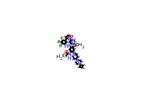 C=CC(=O)Nc1cc(Nc2cc(N3OCCC3c3ccc(F)c(F)c3F)ncn2)c(OC)cc1N1CCC(N2CCN(C3CCC3)CC2)CC1